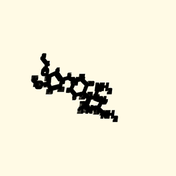 CCOc1cc(CN2CCC(c3c(C)nc(N)nc3N)CC2)ccc1OC